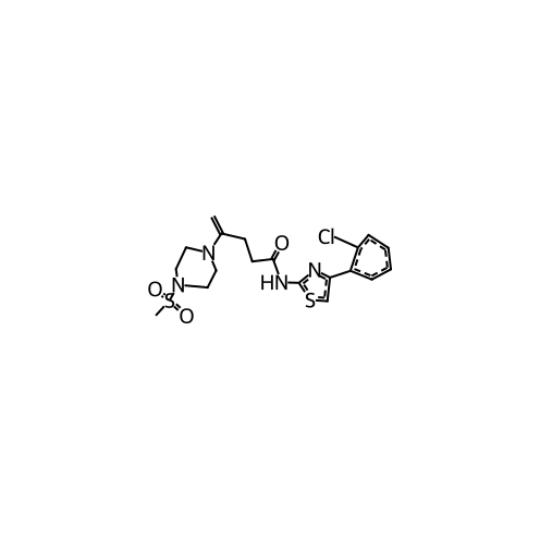 C=C(CCC(=O)Nc1nc(-c2ccccc2Cl)cs1)N1CCN(S(C)(=O)=O)CC1